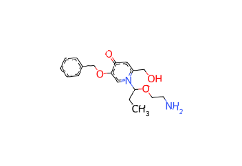 CCC(OCCN)n1cc(OCc2ccccc2)c(=O)cc1CO